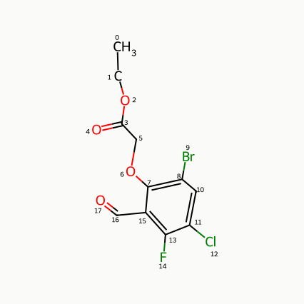 CCOC(=O)COc1c(Br)cc(Cl)c(F)c1C=O